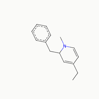 CCC1=CC(Cc2ccccc2)N(C)C=C1